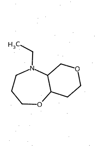 CCN1CCCOC2CCOCC21